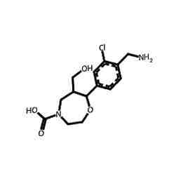 NCc1ccc(C2OCCN(C(=O)O)CC2CO)cc1Cl